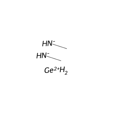 C[NH-].C[NH-].[GeH2+2]